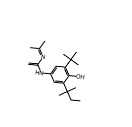 C=C(N=C(C)C)Nc1cc(C(C)(C)C)c(O)c(C(C)(C)CC)c1